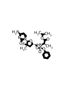 CC(C)OC(=O)[C@H](C)NP(=O)(OC[C@@H]1C[C@@](C)(F)[C@H](n2ccc(N)nc2=O)O1)Oc1ccccc1